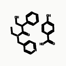 CCN(Cc1ccncc1)C(=O)C(CO)c1ccccc1.O=C(O)c1ccc(O)cc1